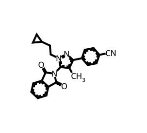 Cc1c(-c2ccc(C#N)cc2)nn(CCC2CC2)c1N1C(=O)c2ccccc2C1=O